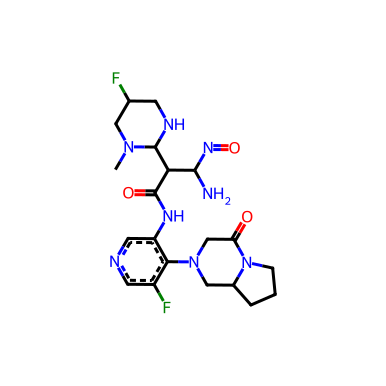 CN1CC(F)CNC1C(C(=O)Nc1cncc(F)c1N1CC(=O)N2CCCC2C1)C(N)N=O